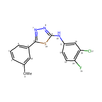 COc1cccc(-c2nnc(Nc3ccc(F)c(Cl)c3)s2)c1